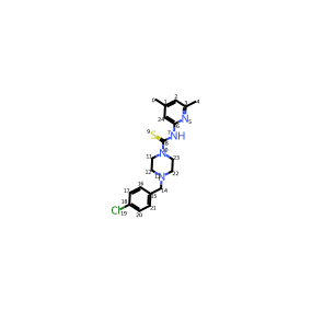 Cc1cc(C)nc(NC(=S)N2CCN(Cc3ccc(Cl)cc3)CC2)c1